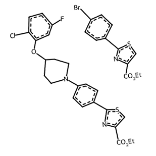 CCOC(=O)c1csc(-c2ccc(Br)cc2)n1.CCOC(=O)c1csc(-c2ccc(N3CCC(Oc4cc(F)ccc4Cl)CC3)cc2)n1